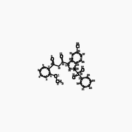 COc1ccccc1C(=O)CC(=O)c1cn(S(=O)(=O)c2ccccc2)c2ccc(Cl)cc12